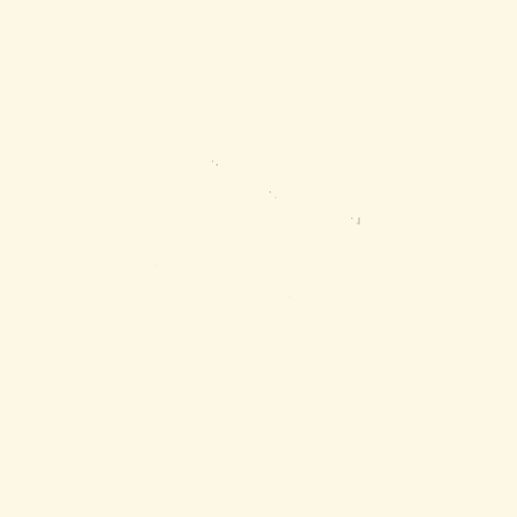 O=C(CCl)OC1CNCC1Nc1ccc(Br)cc1[N+](=O)[O-]